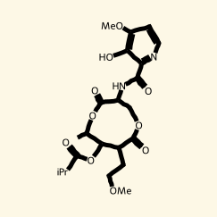 COCCC1C(=O)OCC(NC(=O)c2nccc(OC)c2O)C(=O)OC(C)C1OC(=O)C(C)C